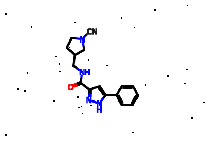 N#CN1CCC(CNC(=O)c2cc(-c3ccccc3)[nH]n2)C1